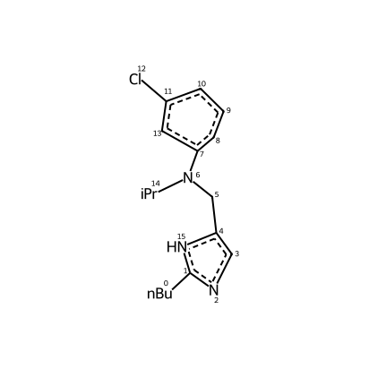 CCCCc1ncc(CN(c2cccc(Cl)c2)C(C)C)[nH]1